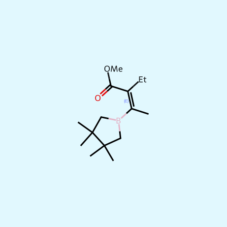 CC/C(C(=O)OC)=C(\C)B1CC(C)(C)C(C)(C)C1